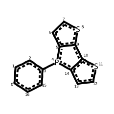 c1ccc(-p2c3ccsc3c3sccc32)cc1